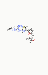 C#CCN/C(N)=N/c1nc(-c2ccc(C[AsH]C(C)=O)o2)cs1